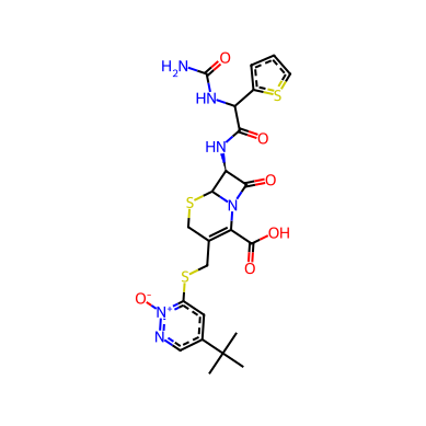 CC(C)(C)c1cn[n+]([O-])c(SCC2=C(C(=O)O)N3C(=O)[C@H](NC(=O)C(NC(N)=O)c4cccs4)C3SC2)c1